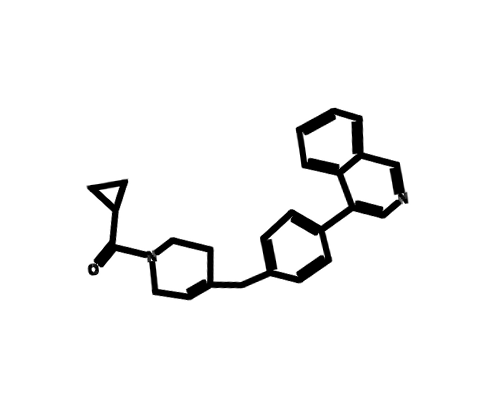 O=C(C1CC1)N1CC=C(Cc2ccc(-c3cncc4ccccc34)cc2)CC1